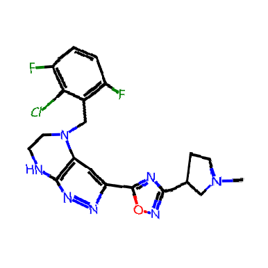 CN1CCC(c2noc(-c3cc4c(nn3)NCCN4Cc3c(F)ccc(F)c3Cl)n2)C1